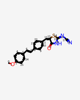 COc1ccc(C=Cc2ccc(/C=C3/SC(=NC#N)NC3=O)cc2)cc1